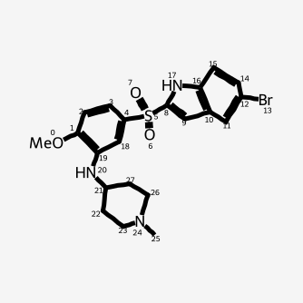 COc1ccc(S(=O)(=O)c2cc3cc(Br)ccc3[nH]2)cc1NC1CCN(C)CC1